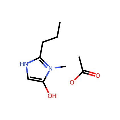 CC(=O)[O-].CCCc1[nH]cc(O)[n+]1C